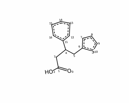 O=C(O)CC(Cc1cccs1)c1ccccc1